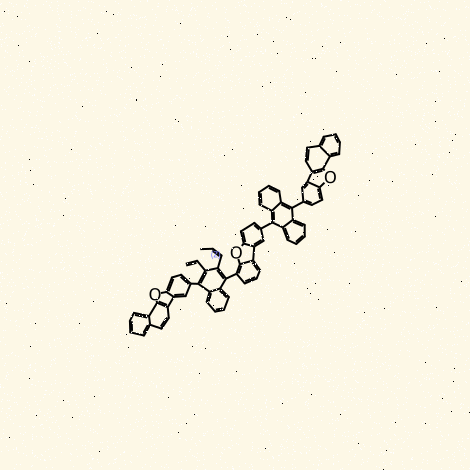 C=Cc1c(/C=C\C)c(-c2cccc3c2oc2ccc(-c4c5ccccc5c(-c5ccc6oc7c8ccccc8ccc7c6c5)c5ccccc45)cc23)c2ccccc2c1-c1ccc2oc3c4ccccc4ccc3c2c1